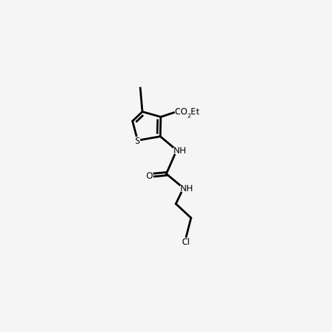 CCOC(=O)c1c(C)csc1NC(=O)NCCCl